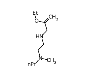 C=C(CNCCN(C)CCC)OCC